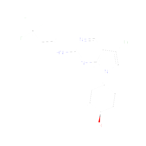 O[C@H]1CC[C@H](n2cc(Br)c3cnc(NCCC(F)(F)F)nc32)CC1